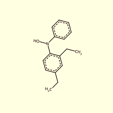 CCc1ccc(N(O)c2ccccc2)c(CC)c1